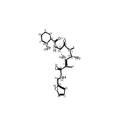 C/C(=C\[C@H](C(C)C)N(C)C(=O)[C@@H](NC(=O)C1CCCCN1C(C)C)C(C)C)C(=O)NCc1ccco1